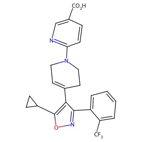 O=C(O)c1ccc(N2CC=C(c3c(-c4ccccc4C(F)(F)F)noc3C3CC3)CC2)nc1